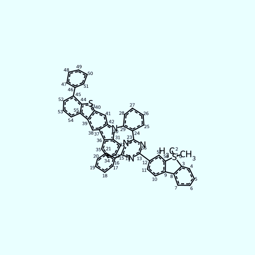 CS1(C)c2ccccc2-c2ccc(-c3nc(-c4ccccc4)nc(-c4ccccc4-n4c5ccccc5c5cc6c(cc54)sc4c(-c5ccccc5)cccc46)n3)cc21